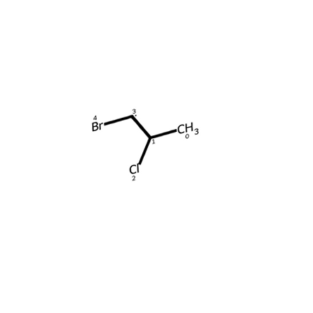 CC(Cl)[CH]Br